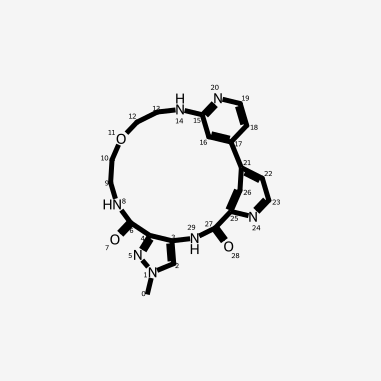 Cn1cc2c(n1)C(=O)NCCOCCNc1cc(ccn1)-c1ccnc(c1)C(=O)N2